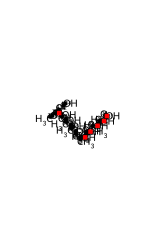 CC(=O)O.CC(=O)O.CC(=O)O.CC(=O)O.CC(=O)O.CC(=O)O.CC(=O)O.CC(=O)O.CC(=O)O.CCOCCOCCO